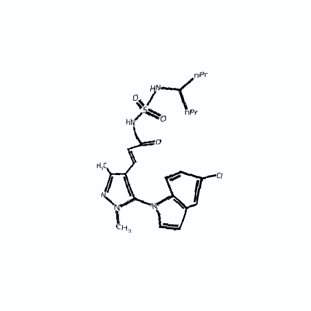 CCCC(CCC)NS(=O)(=O)NC(=O)/C=C/c1c(C)nn(C)c1-n1ccc2cc(Cl)ccc21